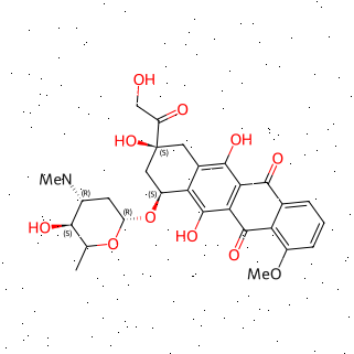 CN[C@@H]1C[C@H](O[C@H]2C[C@](O)(C(=O)CO)Cc3c(O)c4c(c(O)c32)C(=O)c2c(OC)cccc2C4=O)OC(C)[C@H]1O